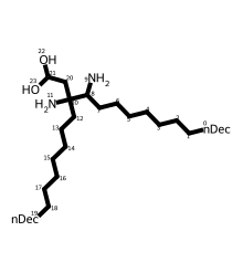 CCCCCCCCCCCCCCCCCC(N)C(N)(CCCCCCCCCCCCCCCCC)CC(O)O